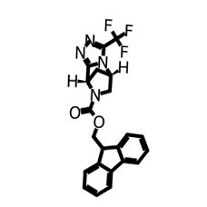 O=C(OCC1c2ccccc2-c2ccccc21)N1C[C@@H]2C[C@H]1c1nnc(C(F)(F)F)n12